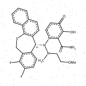 COCCN(C)N([C@@H]1c2ccc(F)c(F)c2CSc2c1ccc1ccccc21)n1ccc(=O)c(O)c1C(N)=O